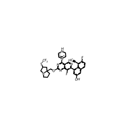 C#Cc1c(F)ccc2cc(O)cc(-c3ncc4c(N5CC6CCCC5CN6)nc(OCC56CCCN5CC(SC(F)(F)F)C6)nc4c3F)c12